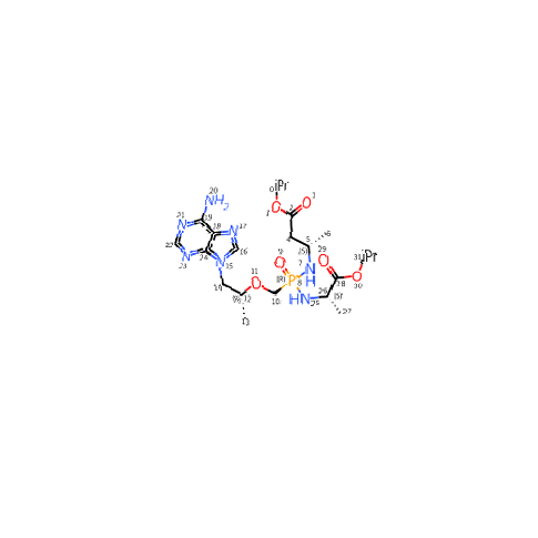 CC(C)OC(=O)C[C@H](C)N[P@](=O)(CO[C@H](C)Cn1cnc2c(N)ncnc21)N[C@@H](C)C(=O)OC(C)C